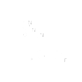 Fc1ccc(C(CCCN2CCN(c3ncccc3OC3CCCCC3)CC2)c2ccc(F)cc2)cc1